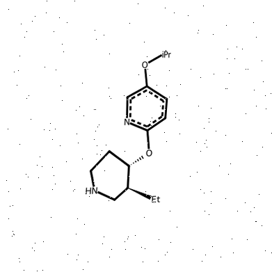 CC[C@H]1CNCC[C@@H]1Oc1ccc(OC(C)C)cn1